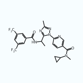 Cc1nc(C(C)NC(=O)c2cc(C(F)(F)F)cc(C(F)(F)F)c2)n(-c2ccc(C(=O)N(C)C3CC3)cn2)n1